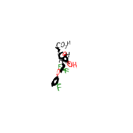 O=C(O)CCC[C@H]1CC[C@@H]2[C@@H](C=CC(F)(F)COc3cccc(F)c3)[C@H](O)C[C@@H]2OC1